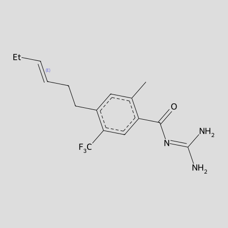 CC/C=C/CCc1cc(C)c(C(=O)N=C(N)N)cc1C(F)(F)F